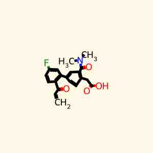 C=CC(=O)c1ccc(F)cc1-c1ccc(CC(=O)O)c(C(=O)N(C)C)c1